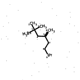 BC(C)(C)CC(=C)CCC(C)C